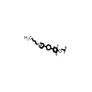 CCCCC[SiH]1CCC(C2CCC(c3cc(F)c(OCC(F)F)c(F)c3)CC2)CC1